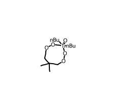 CCC[CH2][Ti]1(=[O])([CH2]CCC)[O]OCC(C)(C)CO[O]1